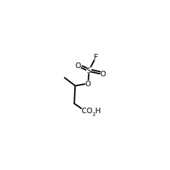 CC(CC(=O)O)OS(=O)(=O)F